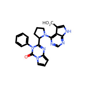 O=C(O)c1c[nH]c2ncnc(N3CCCC3c3nc4cccn4c(=O)n3-c3ccccc3)c12